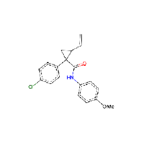 C=CC1CC1(C(=O)Nc1ccc(OC)cc1)c1ccc(Cl)cc1